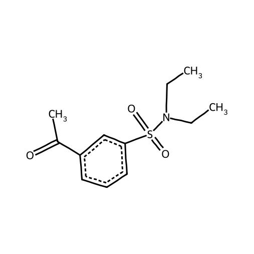 CCN(CC)S(=O)(=O)c1cccc(C(C)=O)c1